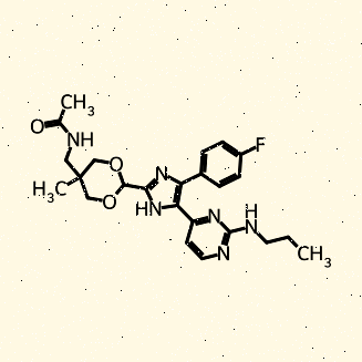 CCCNc1nccc(-c2[nH]c(C3OCC(C)(CNC(C)=O)CO3)nc2-c2ccc(F)cc2)n1